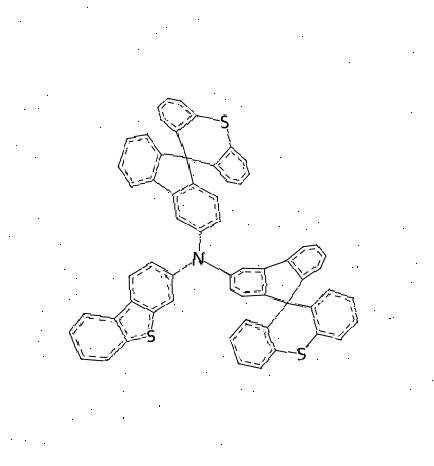 c1ccc2c(c1)Sc1ccccc1C21c2ccccc2-c2cc(N(c3ccc4c(c3)-c3ccccc3C43c4ccccc4Sc4ccccc43)c3ccc4c(c3)sc3ccccc34)ccc21